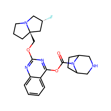 O=C(Oc1nc(OC[C@@]23CCCN2C[C@H](F)C3)nc2ccccc12)N1C2CCC1CNC2